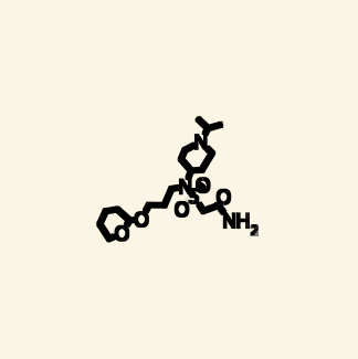 CC(C)N1CCC(N(CCCOC2CCCCO2)S(=O)(=O)CC(N)=O)CC1